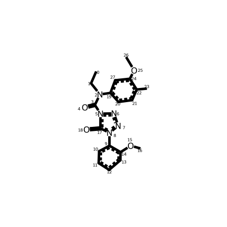 CCN(C(=O)n1nnn(-c2ccccc2OC)c1=O)c1ccc(C)c(OC)c1